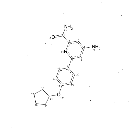 NC(=O)c1cc(N)nc(-c2ccc(OC3CCCC3)cc2)n1